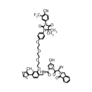 Cc1ncsc1-c1ccc(CNC(=O)[C@@H]2C[C@H](O)CN2C(=O)C(C(C)C)N2Cc3ccccc3C2=O)c(OCCOCCOCCOc2ccc(N3C(=O)N(c4ccc(C#N)c(C(F)(F)F)c4)C(=O)C3(C)C)cc2)c1